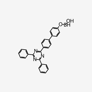 OBOc1ccc(-c2ccc(-c3nc(-c4ccccc4)nc(-c4ccccc4)n3)cc2)cc1